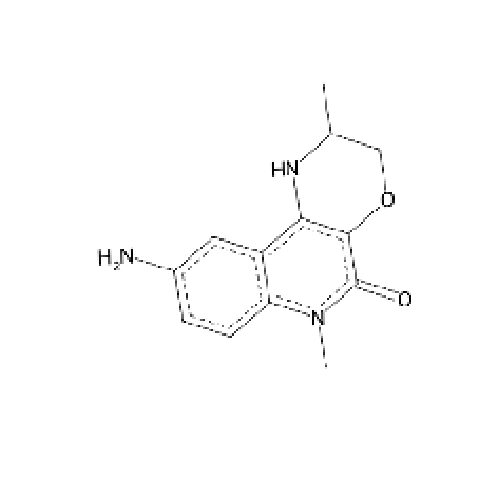 CC1COc2c(c3cc(N)ccc3n(C)c2=O)N1